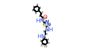 O=C(/C=C/c1ccccc1)Nc1nnc(NCCNc2ccccc2)s1